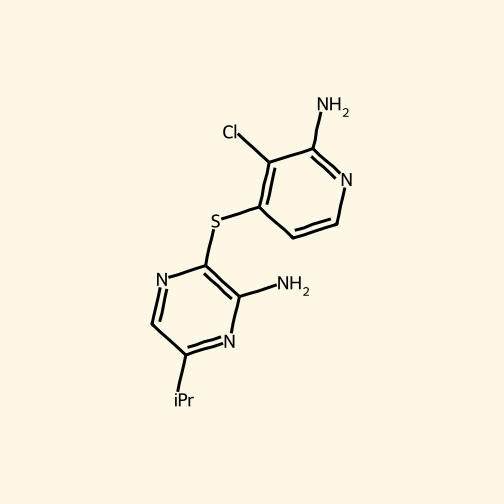 CC(C)c1cnc(Sc2ccnc(N)c2Cl)c(N)n1